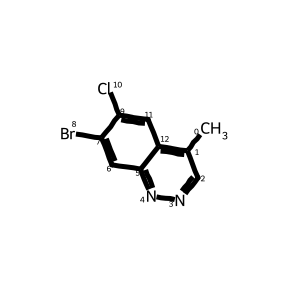 Cc1cnnc2cc(Br)c(Cl)cc12